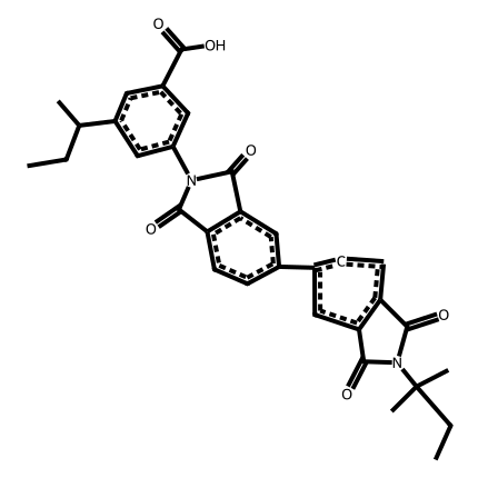 CCC(C)c1cc(C(=O)O)cc(N2C(=O)c3ccc(-c4ccc5c(c4)C(=O)N(C(C)(C)CC)C5=O)cc3C2=O)c1